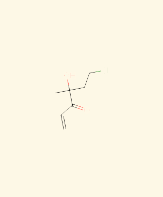 C=CC(=O)C(C)(O)[CH]CCl